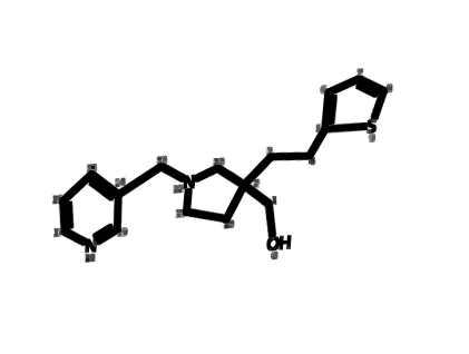 OCC1(CCc2cccs2)CCN(Cc2cccnc2)C1